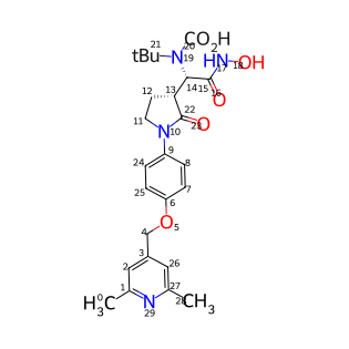 Cc1cc(COc2ccc(N3CC[C@H]([C@@H](C(=O)NO)N(C(=O)O)C(C)(C)C)C3=O)cc2)cc(C)n1